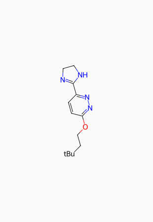 CC(C)(C)CCOc1ccc(C2=NCCN2)nn1